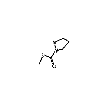 COC(=O)N1CCC[N]1